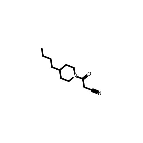 CCCCC1CCN(C(=O)CC#N)CC1